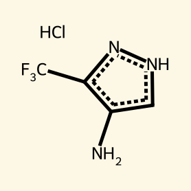 Cl.Nc1c[nH]nc1C(F)(F)F